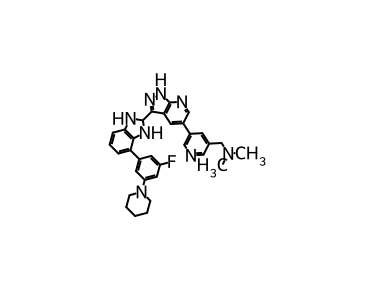 CN(C)Cc1cncc(-c2cnc3[nH]nc(C4Nc5cccc(-c6cc(F)cc(N7CCCCC7)c6)c5N4)c3c2)c1